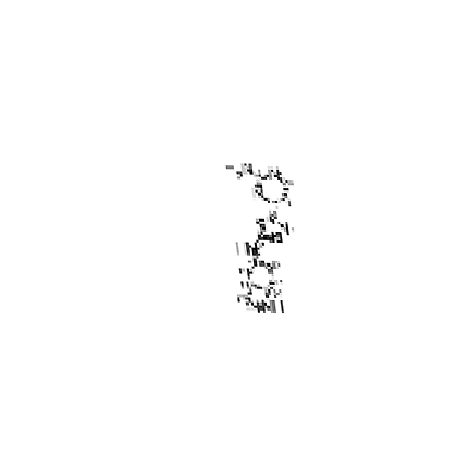 Nc1nccc(-c2nnc(Nc3ccc4[nH]ncc4c3)s2)n1